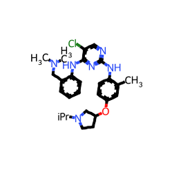 Cc1cc(OC2CCN(C(C)C)C2)ccc1Nc1ncc(Cl)c(Nc2ccccc2CN(C)C)n1